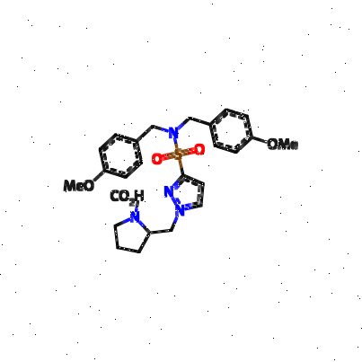 COc1ccc(CN(Cc2ccc(OC)cc2)S(=O)(=O)c2ccn(CC3CCCN3C(=O)O)n2)cc1